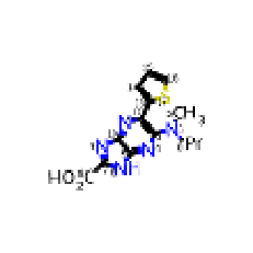 CC(C)N(C)c1nc2[nH]c(C(=O)O)nc2nc1-c1cccs1